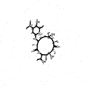 CC(O)C1OC(=O)[C@H](C)C(OC2CC(N(C)C)C(O)C(C)O2)[C@H](C)C[C@](C)(O)C[C@@H](C)C(=O)[C@H](C)[C@@H](O)[C@H]1C